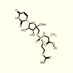 CO[C@]1(CO[P@](=O)(N[C@H](C)C(=O)OC(C)C)OCCSC(=O)C(C)(C)C)O[C@@H](n2ccc(=O)[nH]c2=O)[C@H](O)[C@@H]1O